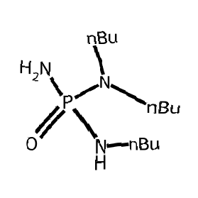 CCCCNP(N)(=O)N(CCCC)CCCC